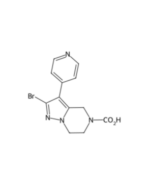 O=C(O)N1CCn2nc(Br)c(-c3ccncc3)c2C1